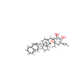 C[C@H]1C[C@@]23CC[C@@]4(O2)C(=CC[C@]2(C)[C@@H](c5ccc6ccccc6c5)CC[C@H]24)C=C3[C@@H](O)[C@@H]1O